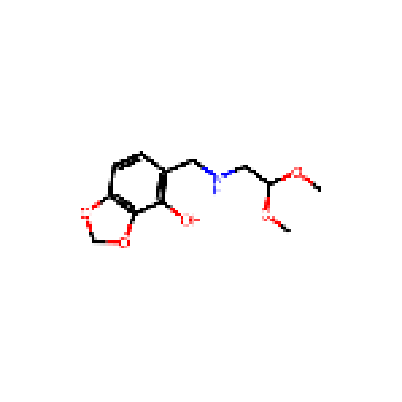 COC(CNCc1ccc2c(c1O)OCO2)OC